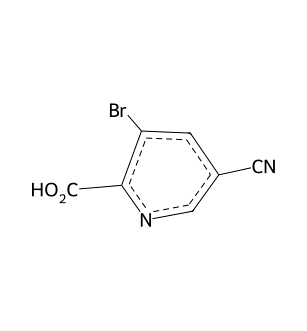 N#Cc1cnc(C(=O)O)c(Br)c1